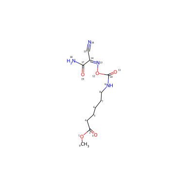 COC(=O)CCCCCNC(=O)ON=C(C#N)C(N)=O